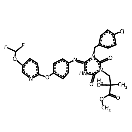 COC(=O)C(C)(C)Cn1c(=O)[nH]/c(=N\c2ccc(Oc3ccc(OC(F)F)cn3)cc2)n(Cc2ccc(Cl)cc2)c1=O